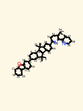 CC1(C)C2=C(c3ccc(-c4ccc5c(c4)oc4ccccc45)cc31)C(C)(C)c1cc(-c3ccc4ccc5cccnc5c4n3)ccc12